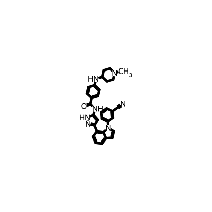 CN1CCC(Nc2ccc(C(=O)Nc3cc(-c4cccc5ccn(-c6cccc(C#N)c6)c45)n[nH]3)cc2)CC1